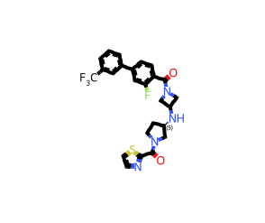 O=C(c1nccs1)N1CC[C@H](NC2CN(C(=O)c3ccc(-c4cccc(C(F)(F)F)c4)cc3F)C2)C1